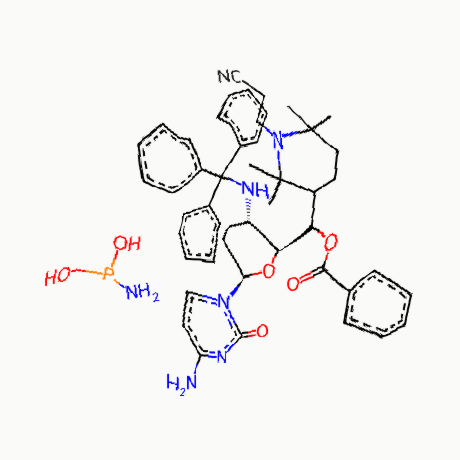 CC1(C)CCC(C(OC(=O)c2ccccc2)[C@H]2O[C@@H](n3ccc(N)nc3=O)C[C@@H]2NC(c2ccccc2)(c2ccccc2)c2ccccc2)C(C)(C)N1CCC#N.NP(O)O